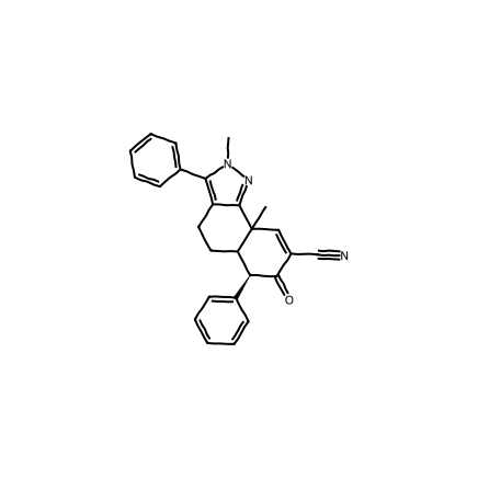 Cn1nc2c(c1-c1ccccc1)CCC1[C@H](c3ccccc3)C(=O)C(C#N)=CC21C